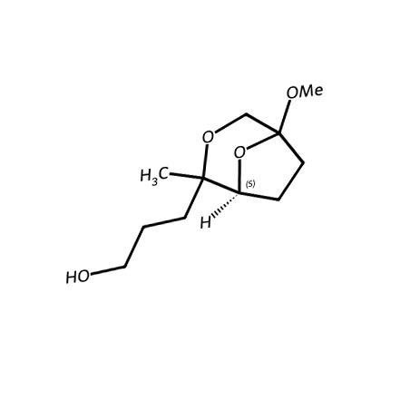 COC12CC[C@H](O1)C(C)(CCCO)OC2